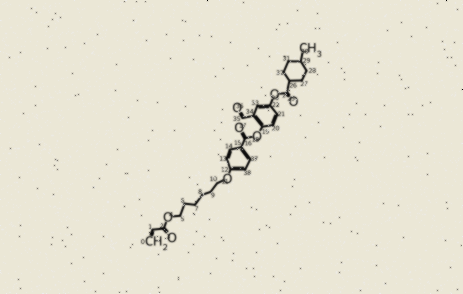 C=CC(=O)OCCCCCCOc1ccc(C(=O)Oc2ccc(OC(=O)C3CCC(C)CC3)cc2C=O)cc1